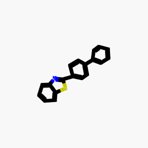 c1ccc(-c2ccc(-c3nc4ccccc4s3)cc2)cc1